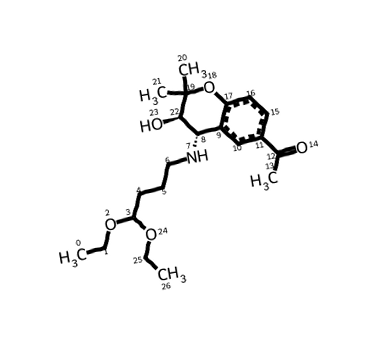 CCOC(CCCN[C@H]1c2cc(C(C)=O)ccc2OC(C)(C)[C@@H]1O)OCC